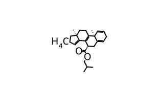 C.CC(C)COC(=O)[C@@H]1CC2=CCC=C[C@]2(C)C2=C1C1=CCC[C@@]1(C)CC2